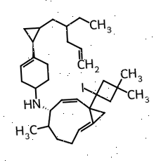 C=CCC(CC)CC1C[C@@H]1C1=CCC(N[C@@H]2/C=C\C3(C4(I)CC(C)(C)C4)C/C3=C\CCC2C)CC1